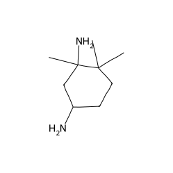 CC1(C)CCC(N)CC1(C)N